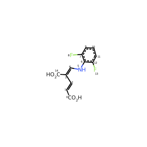 O=C(O)/C=C/C(=CNc1c(F)cccc1F)C(=O)O